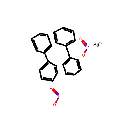 O=P[O-].O=P[O-].[Mg+2].c1ccc(-c2ccccc2)cc1.c1ccc(-c2ccccc2)cc1